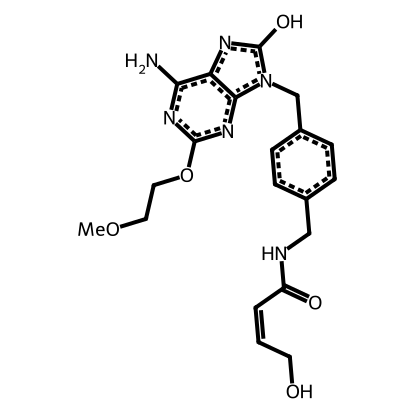 COCCOc1nc(N)c2nc(O)n(Cc3ccc(CNC(=O)/C=C\CO)cc3)c2n1